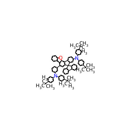 CC(C)(C)c1ccc(N(c2ccc(C(C)(C)C)cc2)c2cccc(-c3cc4c(c5oc6ccccc6c35)-c3ccc(N(c5ccc(C(C)(C)C)cc5)c5ccc(C(C)(C)C)cc5)cc3C43c4ccccc4-c4ccccc43)c2)cc1